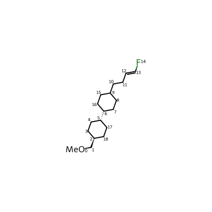 COC[C@H]1CC[C@H](C2CCC(CC/C=C/F)CC2)CC1